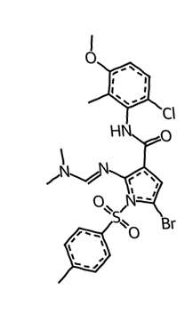 COc1ccc(Cl)c(NC(=O)c2cc(Br)n(S(=O)(=O)c3ccc(C)cc3)c2/N=C/N(C)C)c1C